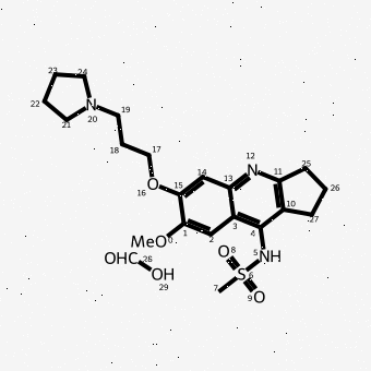 COc1cc2c(NS(C)(=O)=O)c3c(nc2cc1OCCCN1CCCC1)CCC3.O=CO